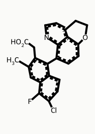 Cc1cc2c(F)c(Cl)ccc2c(-c2ccc3c4c(ccnc24)CCO3)c1CC(=O)O